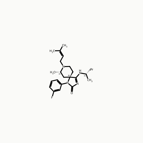 CC(C)=CCN1CC[C@@]2(C[C@@H]1C)C(N[C@@H](C)C(C)C)=NC(=O)N2c1cccc(F)c1